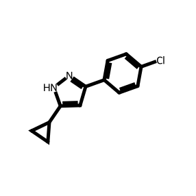 Clc1ccc(-c2cc(C3CC3)[nH]n2)cc1